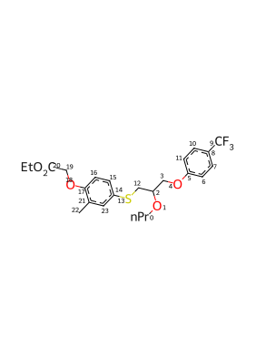 CCCOC(COc1ccc(C(F)(F)F)cc1)CSc1ccc(OCC(=O)OCC)c(C)c1